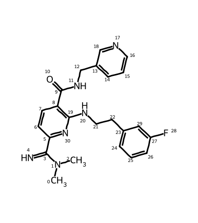 CN(C)C(=N)c1ccc(C(=O)NCc2cccnc2)c(NCCc2cccc(F)c2)n1